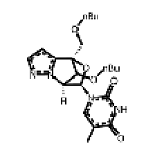 CCCCOC[C@]12O[C@@H](n3cc(C)c(=O)[nH]c3=O)[C@H](C1OCCCC)n1nccc12